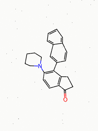 O=C1CCc2c1ccc(N1CCCCC1)c2-c1ccc2ccccc2c1